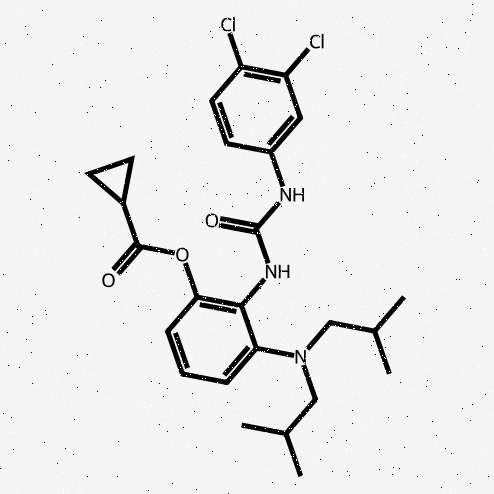 CC(C)CN(CC(C)C)c1cccc(OC(=O)C2CC2)c1NC(=O)Nc1ccc(Cl)c(Cl)c1